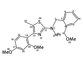 CCCN(Cc1ccccc1COC)c1nc(-c2ccc(OC)cc2OC)c(C)s1